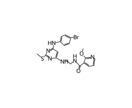 COc1ncccc1C(=O)NCCNc1cc(Nc2ccc(Br)cc2)nc(SC)n1